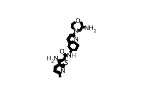 Cc1ccc2c(N)c(C(=O)NC3CCc4nc(N5CCOCC(N)C5)ccc4C3)sc2n1